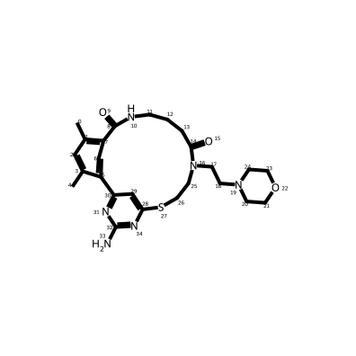 Cc1cc(C)c2cc1C(=O)NCCCC(=O)N(CCN1CCOCC1)CCSc1cc-2nc(N)n1